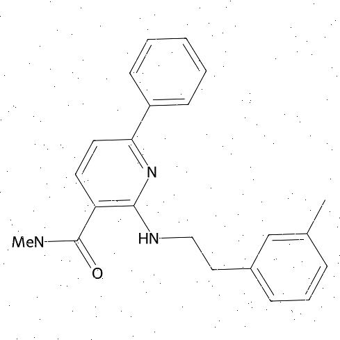 CNC(=O)c1ccc(-c2ccccc2)nc1NCCc1cccc(C)c1